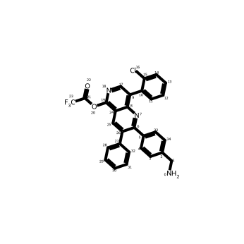 NCc1ccc(-c2nc3c(-c4ccccc4Cl)cnc(OC(=O)C(F)(F)F)c3cc2-c2ccccc2)cc1